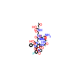 CC(=O)CC[C@H](NC(=O)CCNC(=O)[C@H](CCN(C(=O)CO)[C@@H](c1cc(-c2cc(F)ccc2F)cn1Cc1ccccc1)C(C)(C)C)NC(=O)[C@H](CC(N)=O)NC(=O)[C@H](C)NC(=O)[C@H](C)NC(=O)CCCC(=O)ON1C(=O)CCC1=O)C(=O)O